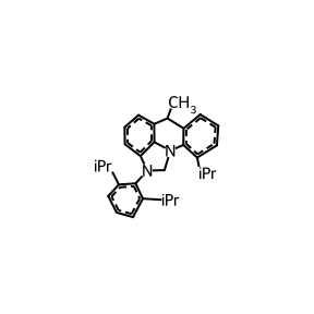 CC(C)c1cccc(C(C)C)c1N1CN2c3c(C(C)C)cccc3C(C)c3cccc1c32